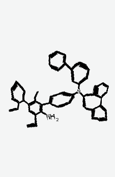 C=Cc1ccccc1-c1cc(C=C)c(N)c(-c2ccc(N(c3cccc(-c4ccccc4)c3)c3cc4ccccc4c4ccccc34)cc2)c1C